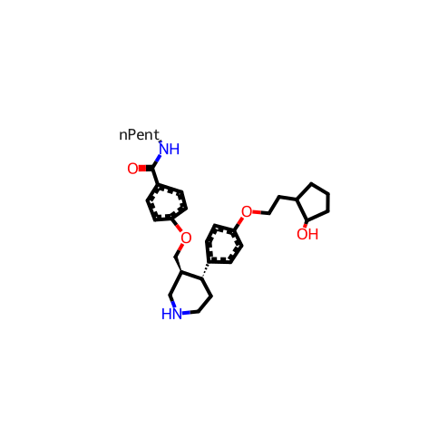 CCCCCNC(=O)c1ccc(OC[C@@H]2CNCC[C@H]2c2ccc(OCCC3CCCC3O)cc2)cc1